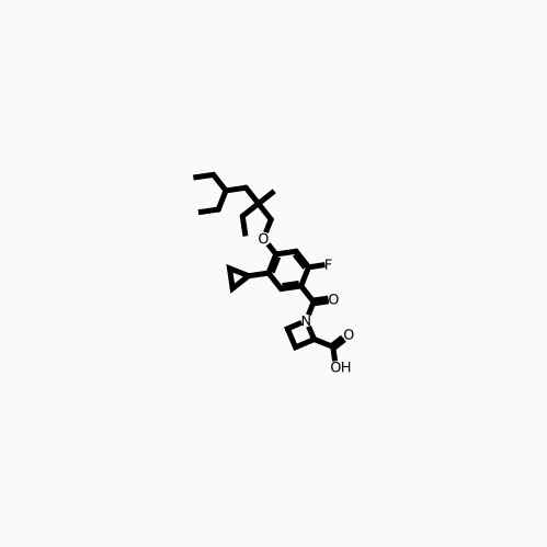 CCC(CC)CC(C)(CC)COc1cc(F)c(C(=O)N2CCC2C(=O)O)cc1C1CC1